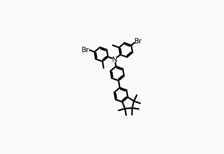 Cc1cc(Br)ccc1N(c1ccc(-c2ccc3c(c2)C(C)(C)C(C)(C)C3(C)C)cc1)c1ccc(Br)cc1C